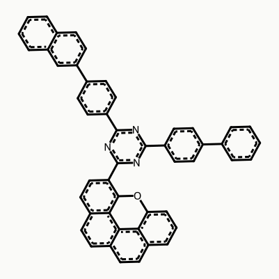 c1ccc(-c2ccc(-c3nc(-c4ccc(-c5ccc6ccccc6c5)cc4)nc(-c4ccc5ccc6ccc7cccc8c7c6c5c4O8)n3)cc2)cc1